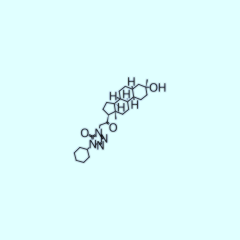 C[C@@]1(O)CC[C@H]2[C@H](CC[C@@H]3[C@@H]2CC[C@]2(C)[C@@H](C(=O)Cn4nnn(C5CCCCC5)c4=O)CC[C@@H]32)C1